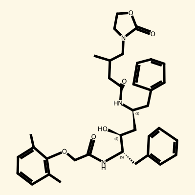 Cc1cccc(C)c1OCC(=O)N[C@@H](Cc1ccccc1)[C@@H](O)C[C@H](Cc1ccccc1)NC(=O)CC(C)CN1CCOC1=O